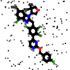 CC1(C)COC[C@H]1n1c(Cc2c(F)cc(-c3ccnc(OCc4ccc(Cl)cc4)n3)c(F)c2F)nc2c(F)cc(C(=O)O)cc21